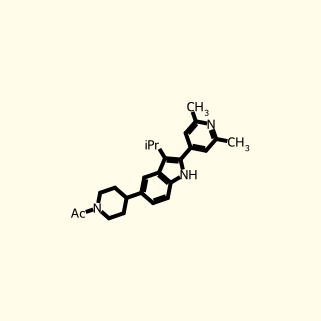 CC(=O)N1CCC(c2ccc3[nH]c(-c4cc(C)nc(C)c4)c(C(C)C)c3c2)CC1